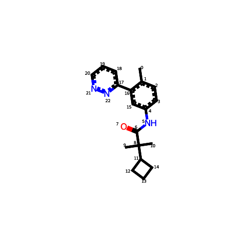 Cc1ccc(NC(=O)C(C)(C)C2CCC2)cc1-c1cccnn1